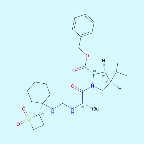 CC(C)(C)[C@H](NCNC1([C@@H]2CCS2(=O)=O)CCCCC1)C(=O)N1C[C@H]2[C@@H]([C@H]1C(=O)OCc1ccccc1)C2(C)C